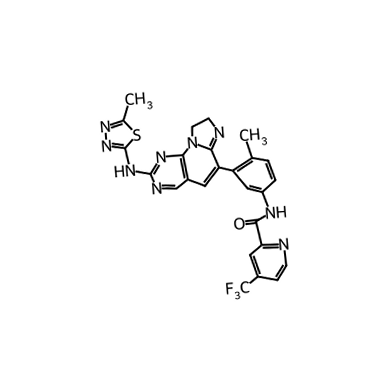 Cc1nnc(Nc2ncc3c(n2)N2CCN=C2C(c2cc(NC(=O)c4cc(C(F)(F)F)ccn4)ccc2C)=C3)s1